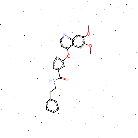 COc1cc2nccc(Oc3cccc(C(=O)NCCc4ccccc4)c3)c2cc1OC